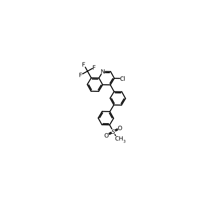 CS(=O)(=O)c1cccc(-c2cccc(-c3c(Cl)cnc4c(C(F)(F)F)cccc34)c2)c1